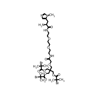 Cn1cncc1CC(N)C(=O)NCCOCCOCCNC(=O)COCC(COC(=O)C(C)(C)Br)(COC(=O)C(C)(C)Br)COC(=O)C(C)(C)Br